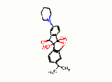 CC(C)c1ccc2c(c1)OC1(O)c3ccc(N4CCCCC4)cc3C(=O)C21O